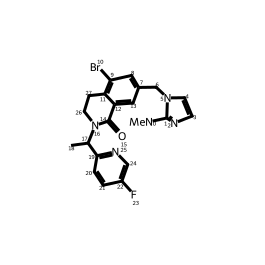 CNc1nccn1Cc1cc(Br)c2c(c1)C(=O)N(C(C)c1ccc(F)cn1)CC2